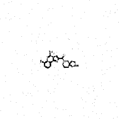 Nc1nc2c(F)cccc2c2nc(C(=O)N3CCCC4(CCNC4)C3)cn12